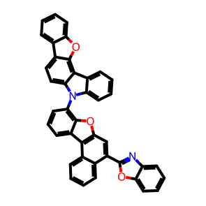 c1ccc2oc(-c3cc4oc5c(-n6c7ccccc7c7c8oc9ccccc9c8ccc76)cccc5c4c4ccccc34)nc2c1